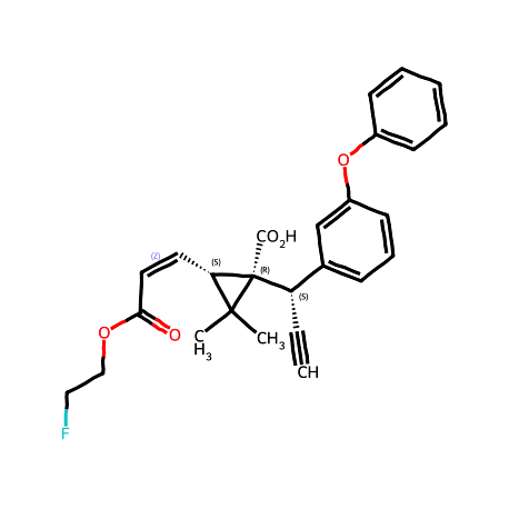 C#C[C@@H](c1cccc(Oc2ccccc2)c1)[C@]1(C(=O)O)[C@@H](/C=C\C(=O)OCCF)C1(C)C